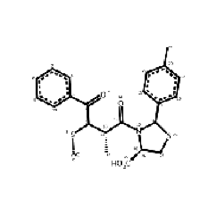 CC(=O)SC(C(=O)c1ccccc1)[C@@H](C)C(=O)N1C(c2ccc(C)cc2)SC[C@H]1C(=O)O